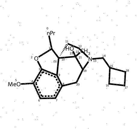 CCCC1Oc2c(OC)ccc3c2[C@@]12CCN(CC1CCC1)C(C3)C2(C)O